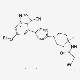 CCOC1=CN2N=CC(C#N)C2C(c2ccc(N3CCC(C)(NC(=O)CC(C)C)CC3)nc2)=C1